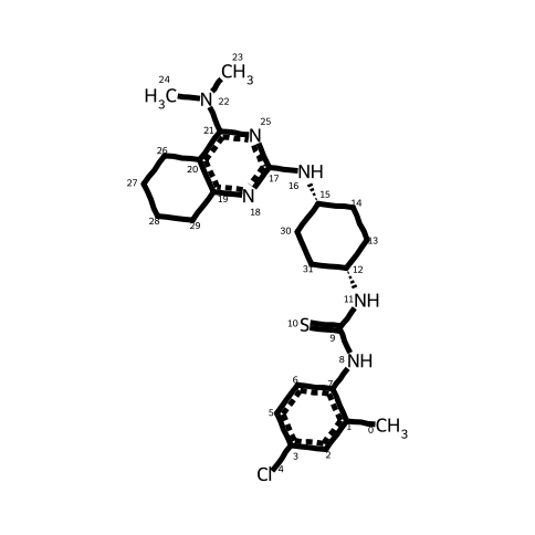 Cc1cc(Cl)ccc1NC(=S)N[C@H]1CC[C@@H](Nc2nc3c(c(N(C)C)n2)CCCC3)CC1